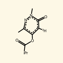 [2H]c1c(OC(=O)C(C)C)c(C)nn(C)c1=O